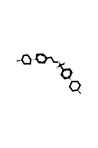 C[C@H]1CC[C@H](c2ccc(CCOC(F)(F)c3ccc([C@H]4CC[C@H](C)CC4)cc3)cc2)CC1